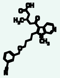 C[C@@H](CC(=O)O)CC(=O)c1c(CCCCOCc2cccc(C#N)c2)n(C)c2cnccc12